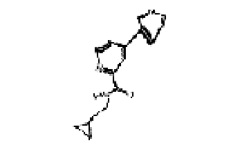 O=C(NCC1CC1)c1cc(-c2cccnc2)ccn1